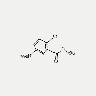 CNc1ccc(Cl)c(C(=O)OC(C)(C)C)c1